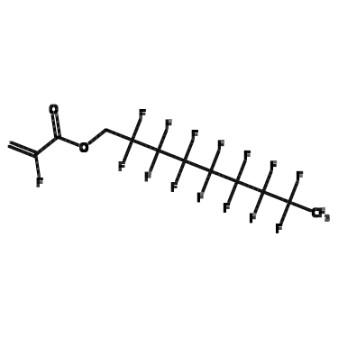 C=C(F)C(=O)OCC(F)(F)C(F)(F)C(F)(F)C(F)(F)C(F)(F)C(F)(F)C(F)(F)C(F)(F)F